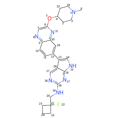 CN1CCC(Oc2cnc3ccc(-c4c[nH]c5nc(NCC6(F)CCC6)ncc45)cc3n2)CC1